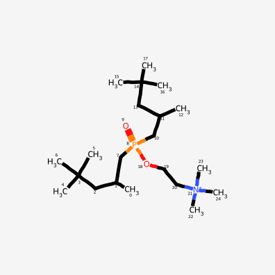 CC(CC(C)(C)C)CP(=O)(CC(C)CC(C)(C)C)OCC[N+](C)(C)C